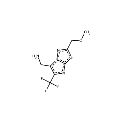 COCc1nn2c(CN)c(C(F)(F)F)nc2s1